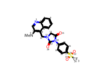 CNc1cnc2ccccc2c1CN1CC(=O)N(c2ccc(S(=O)(=O)C(F)(F)F)cc2)C1=O